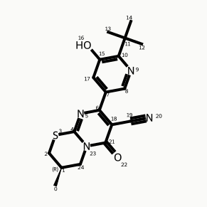 C[C@H]1CSc2nc(-c3cnc(C(C)(C)C)c(O)c3)c(C#N)c(=O)n2C1